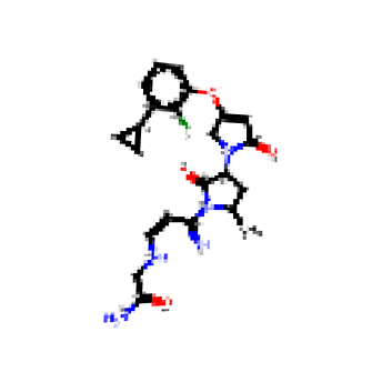 CC1C[C@H](N2CC(Oc3cccc(C4CC4)c3F)=CC2=O)C(=O)N1C(=N)/C=C\NCC(N)=O